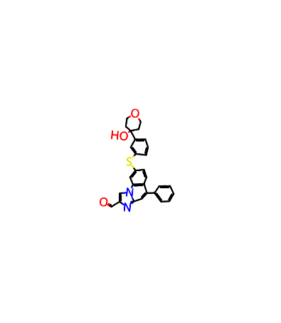 O=Cc1cn2c(cc(-c3ccccc3)c3ccc(Sc4cccc(C5(O)CCOCC5)c4)cc32)n1